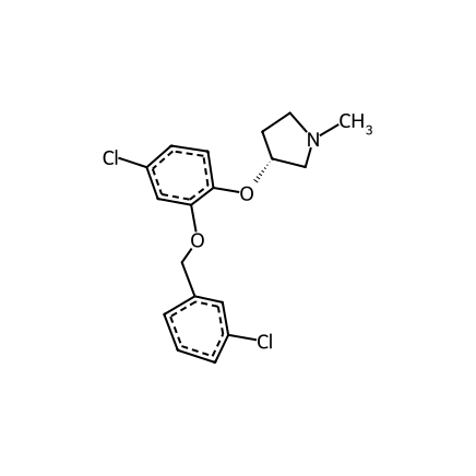 CN1CC[C@@H](Oc2ccc(Cl)cc2OCc2cccc(Cl)c2)C1